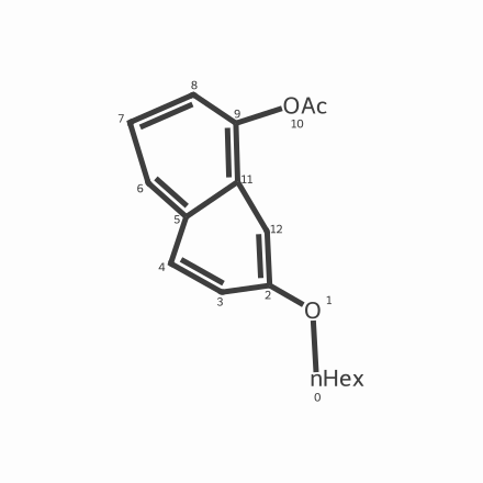 CCCCCCOc1ccc2cccc(OC(C)=O)c2c1